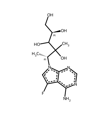 C[C@@H](n1cc(F)c2c(N)ncnc21)C(C)(O)C(O)[C@H](O)CO